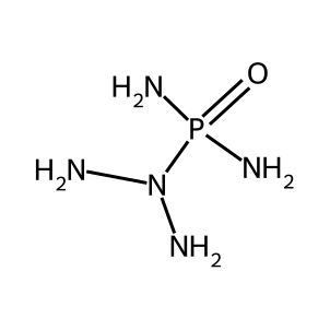 NN(N)P(N)(N)=O